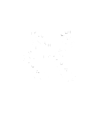 COc1cc(COc2cccc(OCc3ccc4ccccc4n3)c2)ccc1C(=O)O.Cc1cc(OCc2cccc(C(=O)O)c2)cc(OCc2ccc3ccccc3n2)c1